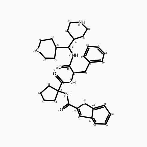 O=C(NC1(C(=O)N[C@H](Cc2ccccc2)C(=O)NC(C2CCNCC2)C2CCOCC2)CCCC1)c1cc2ccccc2s1